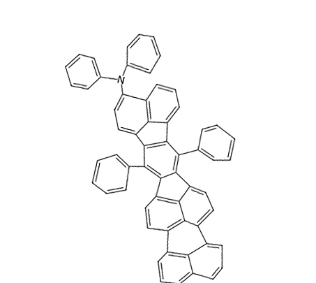 c1ccc(-c2c3c4cccc5c(N(c6ccccc6)c6ccccc6)ccc(c3c(-c3ccccc3)c3c6ccc7c8cccc9cccc(c%10ccc(c23)c6c%107)c98)c54)cc1